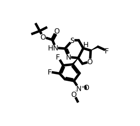 CO[N+](=O)c1cc(F)c(F)c([C@]23CO[C@H](CF)[C@H]2CSC(NC(=O)OC(C)(C)C)=N3)c1